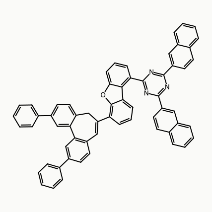 C1=C(c2cccc3c2oc2cccc(-c4nc(-c5ccc6ccccc6c5)nc(-c5ccc6ccccc6c5)n4)c23)Cc2ccc(-c3ccccc3)cc2-c2cc(-c3ccccc3)ccc21